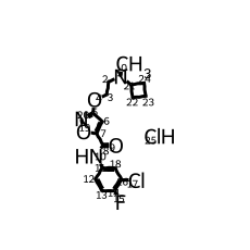 CN(CCOc1cc(C(=O)Nc2ccc(F)c(Cl)c2)on1)C1CCC1.Cl